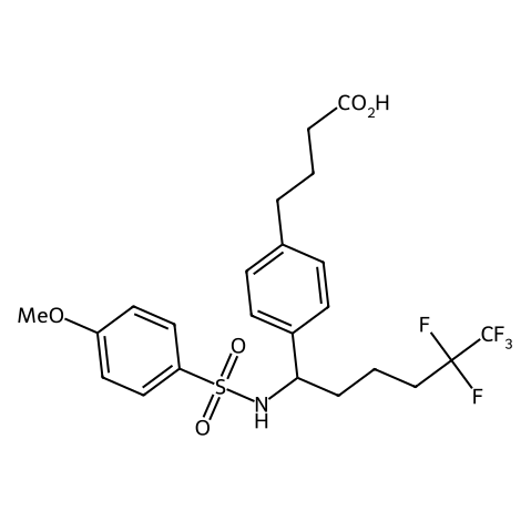 COc1ccc(S(=O)(=O)NC(CCCC(F)(F)C(F)(F)F)c2ccc(CCCC(=O)O)cc2)cc1